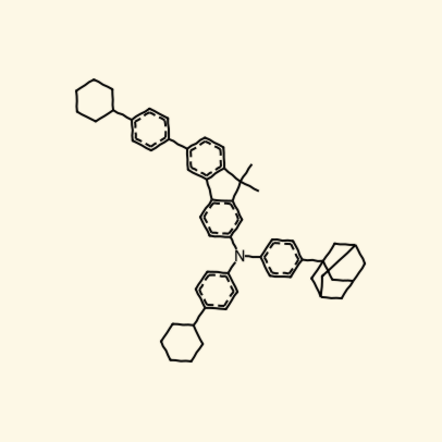 CC1(C)c2ccc(-c3ccc(C4CCCCC4)cc3)cc2-c2ccc(N(c3ccc(C4CCCCC4)cc3)c3ccc(C45CC6CC(CC(C6)C4)C5)cc3)cc21